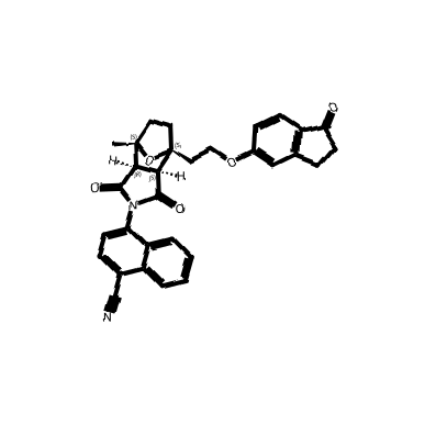 C[C@@]12CC[C@@](CCOc3ccc4c(c3)CCC4=O)(O1)[C@H]1C(=O)N(c3ccc(C#N)c4ccccc34)C(=O)[C@H]12